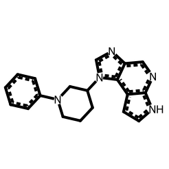 c1ccc(N2CCCC(n3cnc4cnc5[nH]ccc5c43)C2)cc1